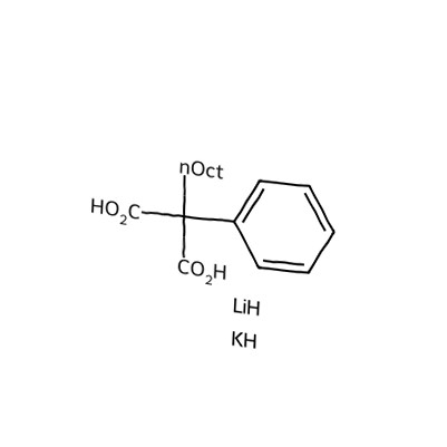 CCCCCCCCC(C(=O)O)(C(=O)O)c1ccccc1.[KH].[LiH]